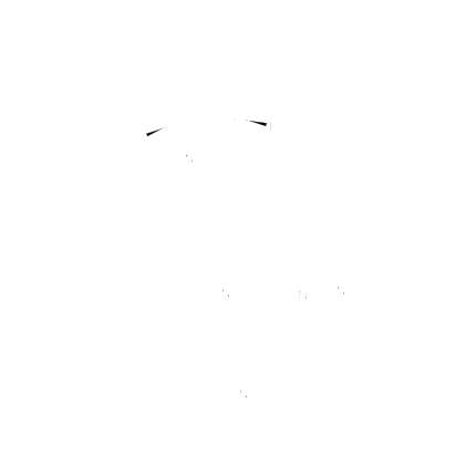 O=C(C1CCN(c2cnccc2-n2cc(Cl)cn2)CC1)N1C[C@@H]2C[C@H]1CO2